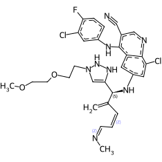 C=C(/C=C\C=N/C)[C@H](Nc1cc(Cl)c2ncc(C#N)c(Nc3ccc(F)c(Cl)c3)c2c1)C1=CN(CCOCCOC)NN1